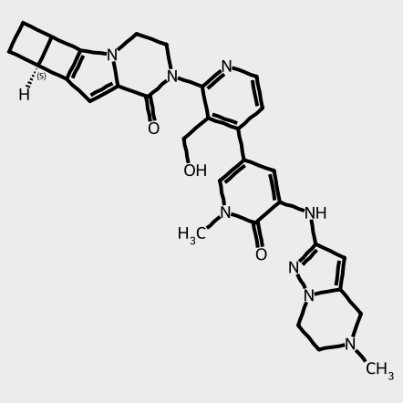 CN1CCn2nc(Nc3cc(-c4ccnc(N5CCn6c(cc7c6C6CC[C@H]76)C5=O)c4CO)cn(C)c3=O)cc2C1